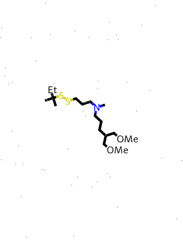 CCC(C)(C)SSCCCN(C)CCCC(COC)COC